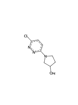 OC1CCN(c2ccc(Cl)nn2)C1